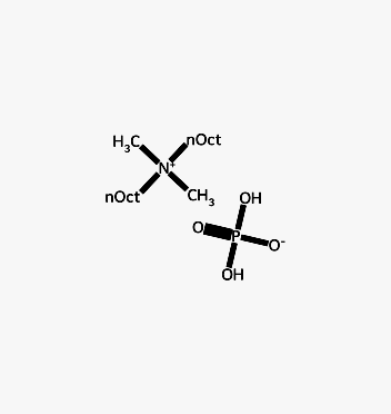 CCCCCCCC[N+](C)(C)CCCCCCCC.O=P([O-])(O)O